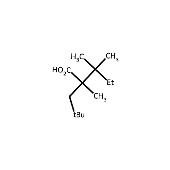 CCC(C)(C)C(C)(CC(C)(C)C)C(=O)O